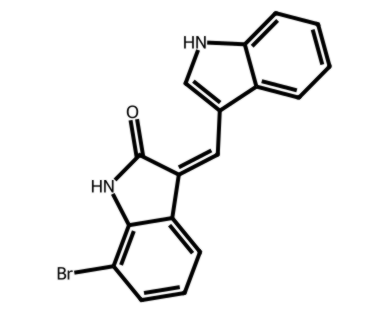 O=C1Nc2c(Br)cccc2C1=Cc1c[nH]c2ccccc12